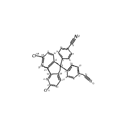 N#Cc1ccc(C2(c3ccc(C#N)cc3)c3ccc(Cl)nc3-c3nc(Cl)ccc32)cc1